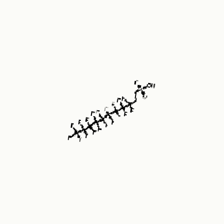 O=S(=O)(O)CCC(F)(F)C(F)(F)C(F)(F)C(F)(F)C(F)(F)C(F)(F)C(F)(F)C(F)(F)C(F)(F)F